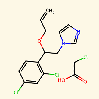 C=CCOC(Cn1ccnc1)c1ccc(Cl)cc1Cl.O=C(O)CCl